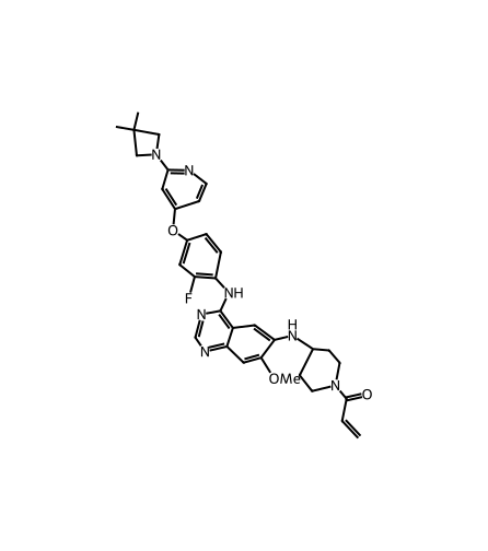 C=CC(=O)N1CCC(Nc2cc3c(Nc4ccc(Oc5ccnc(N6CC(C)(C)C6)c5)cc4F)ncnc3cc2OC)CC1